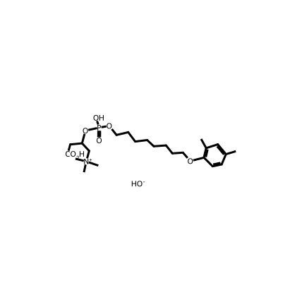 Cc1ccc(OCCCCCCCCOP(=O)(O)OC(CC(=O)O)C[N+](C)(C)C)c(C)c1.[OH-]